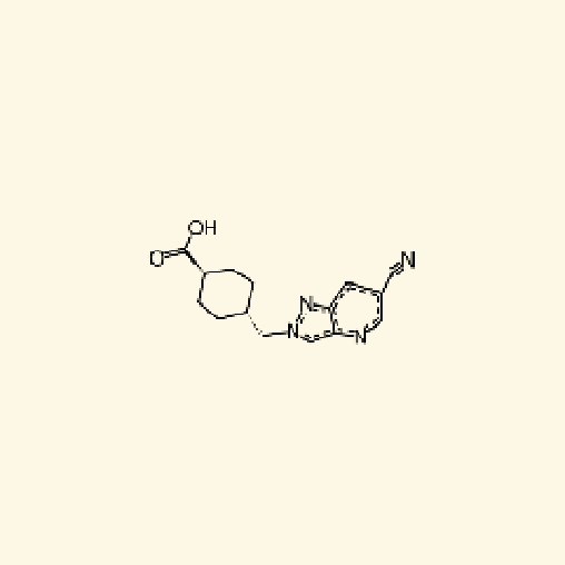 N#Cc1cnc2cn(C[C@H]3CC[C@H](C(=O)O)CC3)nc2c1